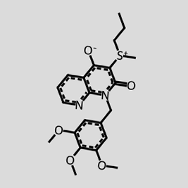 CCC[S+](C)c1c([O-])c2cccnc2n(Cc2cc(OC)c(OC)c(OC)c2)c1=O